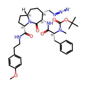 COc1ccc(CCNC(=O)[C@@H]2CC[C@@H]3CC[C@H](CN=[N+]=[N-])[C@H](NC(=O)[C@@H](Cc4ccccc4)N(C)C(=O)OC(C)(C)C)C(=O)N32)cc1